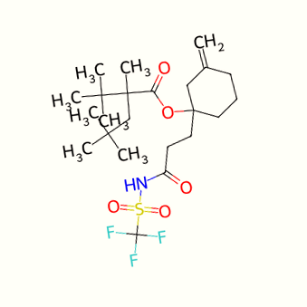 C=C1CCCC(CCC(=O)NS(=O)(=O)C(F)(F)F)(OC(=O)C(C)(CC(C)(C)C)C(C)(C)C)C1